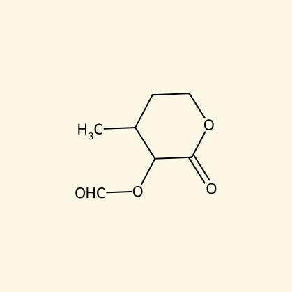 CC1CCOC(=O)C1OC=O